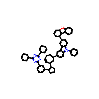 C1#CC(C2=C(c3cccc(-c4nc(-c5ccccc5)nc(-c5ccccc5)n4)c3)C=CC2)=CC(c2ccc3c(c2)c2cc(-c4cccc5oc6ccccc6c45)ccc2n3-c2ccccc2)=CC1